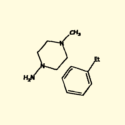 CCc1ccccc1.CN1CCN(N)CC1